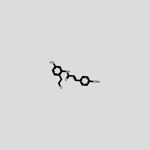 COc1ccc(/C=C/C(=O)Nc2cc(O)ccc2CCCl)cc1